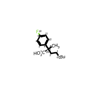 CC(C)(C)CC[C@](C)(C(=O)O)c1ccc(F)cc1